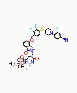 CC(C)(C)OC(=O)CCC(/C=[N+]1/Cc2c(OCc3ccc(SC4CCN(c5ccc(C#N)cc5F)CC4)c(F)c3F)cccc2C1=O)C(N)=O